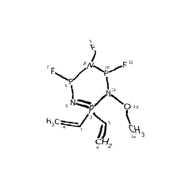 C=CP1(C=C)=NP(F)N(F)P(F)N1OC